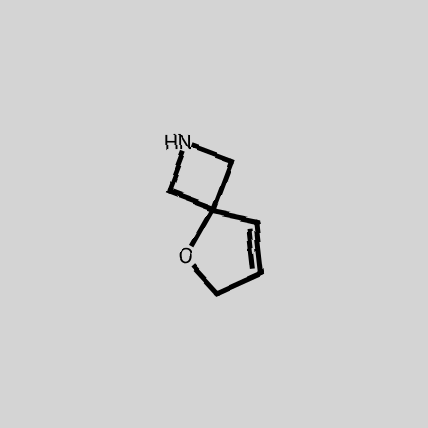 C1=CC2(CNC2)OC1